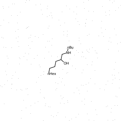 CCCCCCCCCC(O)CNCCCC